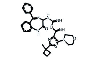 CC1(c2nc(C(=N)OC(=N)NC3N=C(c4ccccc4)c4ccccc4NC3=O)c(N3CCOCC3)s2)CCC1